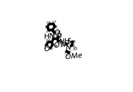 COCCN1/C(=N/NC(=O)C(=O)[C@@H](NC(=O)C2CCCCC2)C2CCOCC2)SC[C@@H]1C